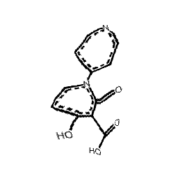 O=C(O)c1c(O)ccn(-c2ccncc2)c1=O